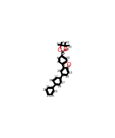 CC1(C)OB(c2ccc3c(c2)oc2ccc(-c4ccc(-c5ccccc5)cc4)cc23)OC1(C)C